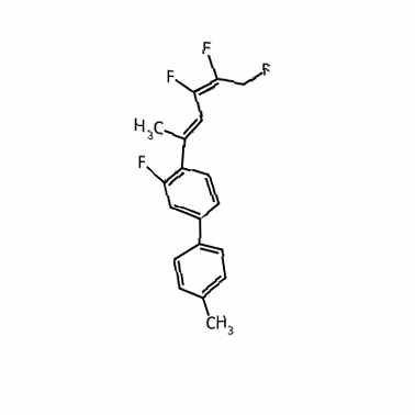 C/C(=C\C(F)=C(\F)CF)c1ccc(-c2ccc(C)cc2)cc1F